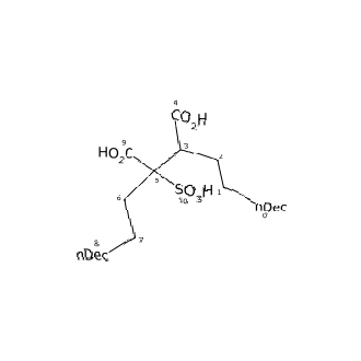 CCCCCCCCCCCCC(C(=O)O)C(CCCCCCCCCCCC)(C(=O)O)S(=O)(=O)O